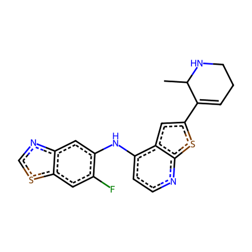 CC1NCCC=C1c1cc2c(Nc3cc4ncsc4cc3F)ccnc2s1